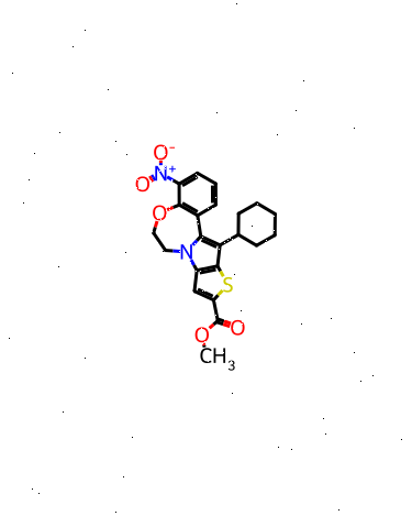 COC(=O)c1cc2c(s1)c(C1CCCCC1)c1n2CCOc2c-1cccc2[N+](=O)[O-]